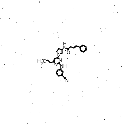 CCCc1cc(N2CCC(NC(=O)C/C=C/c3ccccc3)C2)nc(Nc2cccc(C#N)c2)n1